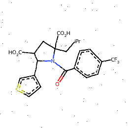 CC(C)CC1(C(=O)O)CC(C(=O)O)C(c2ccsc2)N1C(=O)c1ccc(C(F)(F)F)cc1